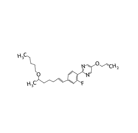 C=CCOc1cnc(-c2ccc(C=CCCCC(C)OCCCCC)cc2F)nc1